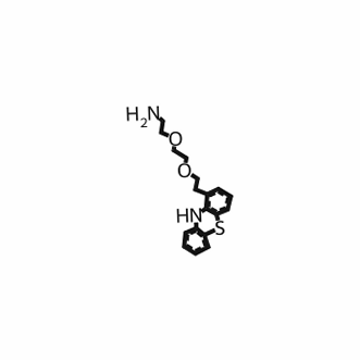 NCCOCCOCCc1cccc2c1Nc1ccccc1S2